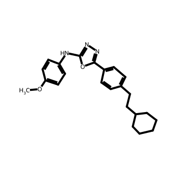 COc1ccc(Nc2nnc(-c3ccc(CCC4CCCCC4)cc3)o2)cc1